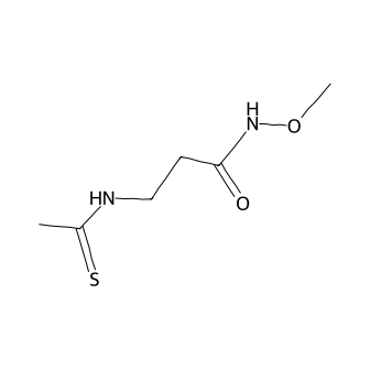 CONC(=O)CCNC(C)=S